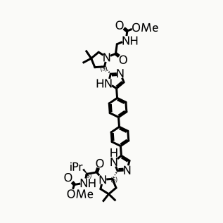 COC(=O)NCC(=O)N1CC(C)(C)C[C@H]1c1ncc(-c2ccc(-c3ccc(-c4cnc([C@@H]5CC(C)(C)CN5C(=O)[C@@H](NC(=O)OC)C(C)C)[nH]4)cc3)cc2)[nH]1